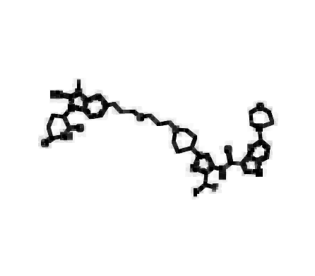 Cn1c(=N)n(C2CCC(=O)NC2=O)c2ccc(CCCOCCCN3CCC(n4cc(NC(=O)c5cnn6ccc(N7CCOCC7)nc56)c(C(F)F)n4)CC3)cc21